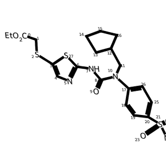 CCOC(=O)CSc1cnc(NC(=O)N(CC2CCCC2)c2ccc(S(N)(=O)=O)cc2)s1